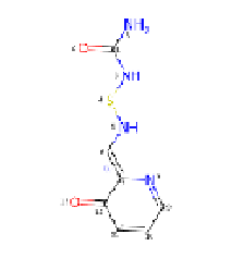 NC(=O)NSN/C=C1\N=CC=CC1=O